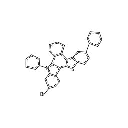 Brc1ccc2c3c4sc5ccc(-c6ccccc6)cc5c4c4ccccc4c3n(-c3ccccc3)c2c1